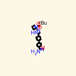 CC(C)(C)OC(=O)N1CCC[C@H]1c1ncc(-c2ccc(-c3ccc4c(N)noc4c3)cc2)[nH]1